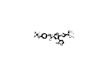 CN(C)C1CN(c2ncc(C(=O)Nc3ccc(OC(F)(F)F)cc3)cc2-c2ccn[nH]2)C1